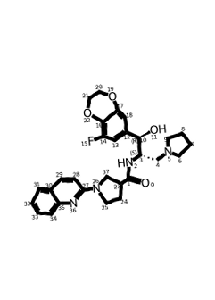 O=C(N[C@@H](CN1CCCC1)[C@H](O)c1cc(F)c2c(c1)OCCO2)C1CCN(c2ccc3ccccc3n2)C1